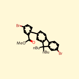 CCCCC1(CCCC)c2cc(Br)ccc2-c2ccc(-c3ccc(Br)cc3C(=O)OC)cc21